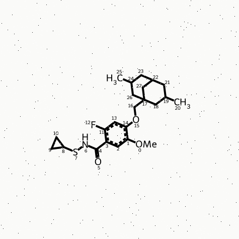 COc1cc(C(=O)NSC2CC2)c(F)cc1OCC12CC(C)CC(CC(C)C1)C2